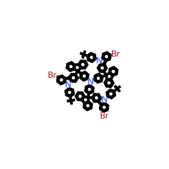 CC(C)(C)c1ccc(-n2c3ccc(Br)cc3c3cc(C4(c5ccc(N(c6ccc(C7(c8ccc9c(c8)c8cc(Br)ccc8n9-c8ccc(C(C)(C)C)cc8)c8ccccc8-c8ccccc87)cc6)c6ccc(C7(c8ccc9c(c8)c8cc(Br)ccc8n9-c8ccc(C(C)(C)C)cc8)c8ccccc8-c8ccccc87)cc6)cc5)c5ccccc5-c5ccccc54)ccc32)cc1